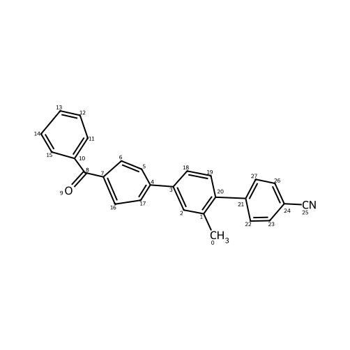 Cc1cc(-c2ccc(C(=O)c3ccccc3)cc2)ccc1-c1ccc(C#N)cc1